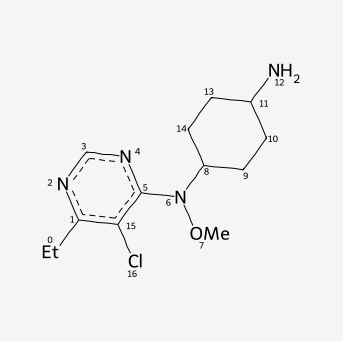 CCc1ncnc(N(OC)C2CCC(N)CC2)c1Cl